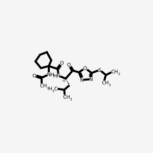 CC(=O)NC1(C(=O)N[C@@H](CC(C)C)C(=O)c2nnc(SC(C)C)o2)CCCCC1